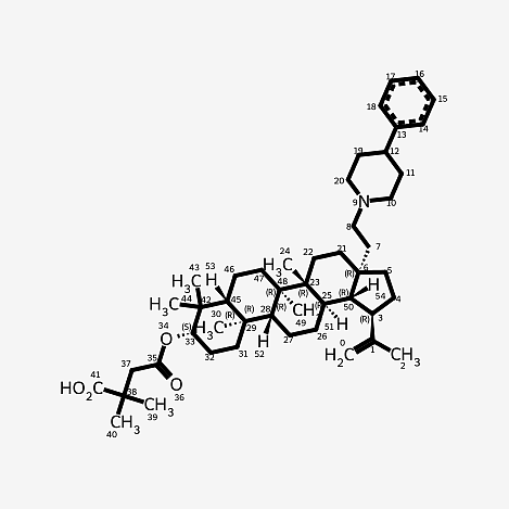 C=C(C)[C@@H]1CC[C@]2(CCN3CCC(c4ccccc4)CC3)CC[C@]3(C)[C@H](CC[C@@H]4[C@@]5(C)CC[C@H](OC(=O)CC(C)(C)C(=O)O)C(C)(C)[C@@H]5CC[C@]43C)[C@@H]12